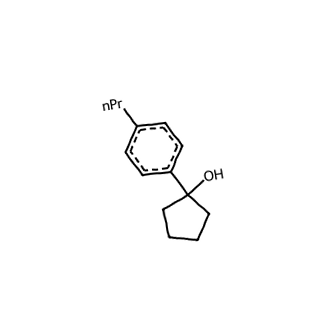 CCCc1ccc(C2(O)CCCC2)cc1